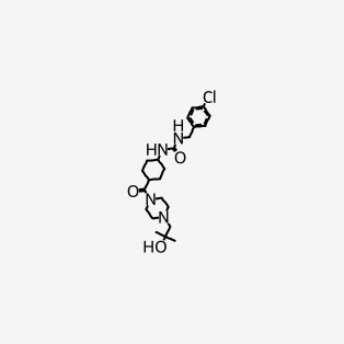 CC(C)(O)CN1CCN(C(=O)C2CCC(NC(=O)NCc3ccc(Cl)cc3)CC2)CC1